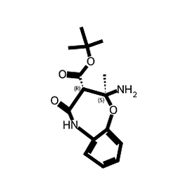 CC(C)(C)OC(=O)[C@H]1C(=O)Nc2ccccc2O[C@]1(C)N